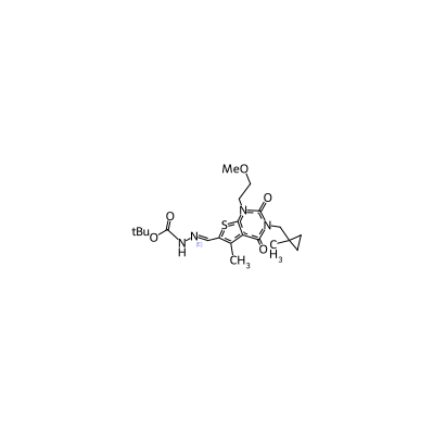 COCCn1c(=O)n(CC2(C)CC2)c(=O)c2c(C)c(/C=N/NC(=O)OC(C)(C)C)sc21